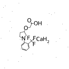 O=C(O)COC1CCN(c2ccccc2C(F)(F)F)C1.[CaH2]